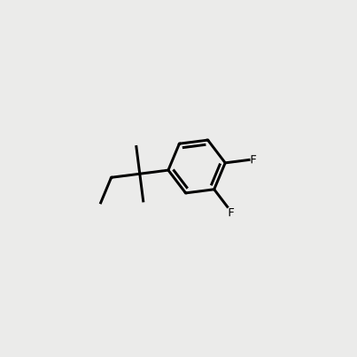 CCC(C)(C)c1ccc(F)c(F)c1